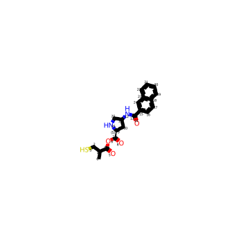 CC(CS)C(=O)OC(=O)[C@@H]1CC(NC(=O)c2ccc3ccccc3c2)CN1